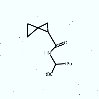 CC(C)(C)C(NC(=O)C1CC12CC2)C(C)(C)C